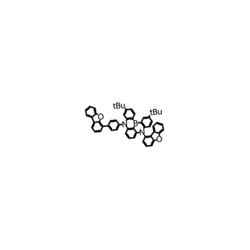 CC(C)(C)c1ccc2c(c1)B1c3ccc(C(C)(C)C)cc3N(c3ccc(-c4cccc5c4oc4ccccc45)cc3)c3cccc(c31)N2c1cccc2oc3ccccc3c12